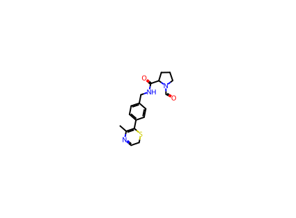 CC1=C(c2ccc(CNC(=O)C3CCCN3C=O)cc2)SCC=N1